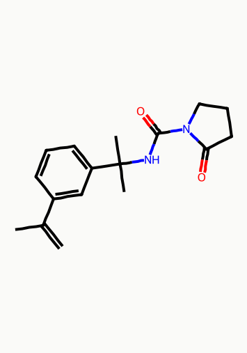 C=C(C)c1cccc(C(C)(C)NC(=O)N2CCCC2=O)c1